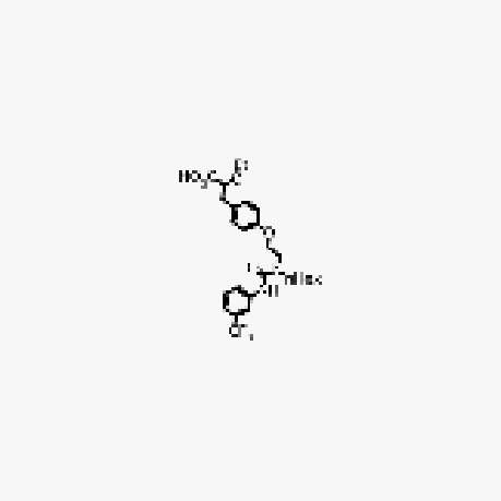 CCCCCCN(CCOc1ccc(CC(OCC)C(=O)O)cc1)C(=O)Nc1cccc(C(F)(F)F)c1